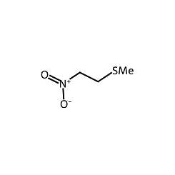 CSCC[N+](=O)[O-]